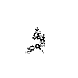 CCc1cc(N2CCNC(CO)C2)ccc1Nc1ncc(C(F)(F)F)c(-c2cc3c(s2)C(=O)N(C2COC2)CCS3(=O)=O)n1